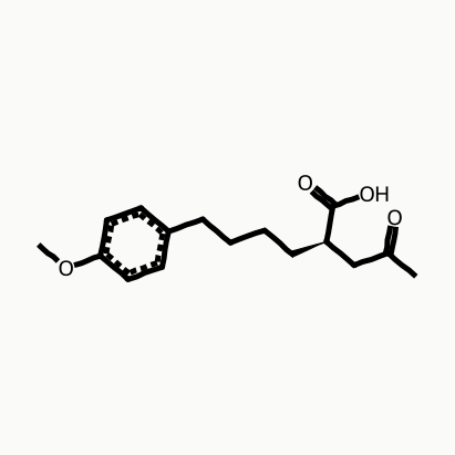 COc1ccc(CCCC[C@H](CC(C)=O)C(=O)O)cc1